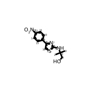 CC(C)(CO)Nc1nc(-c2ccc([N+](=O)[O-])cc2)cs1